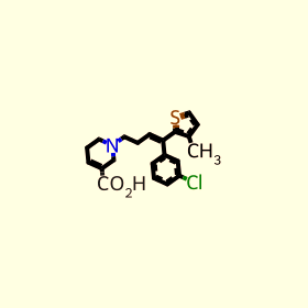 Cc1ccsc1C(=CCCN1CCC=C(C(=O)O)C1)c1cccc(Cl)c1